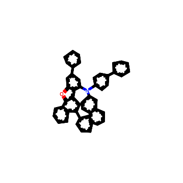 c1ccc(-c2ccc(N(c3ccc4ccccc4c3)c3cc(-c4ccccc4)cc4oc5c6ccccc6c(-c6ccccc6)cc5c34)cc2)cc1